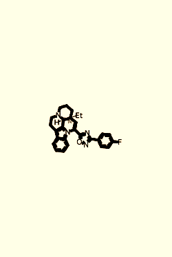 CC[C@@]12C=C(c3nc(-c4ccc(F)cc4)no3)n3c4c(c5ccccc53)CCN(CCC1)[C@H]42